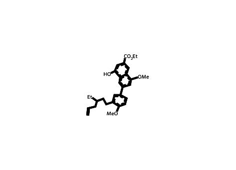 C=CCC(CC)CCc1cc(-c2cc(OC)c3cc(C(=O)OCC)cc(O)c3c2)ccc1OC